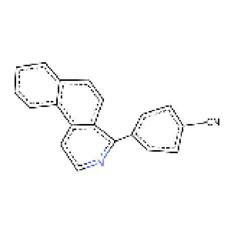 N#Cc1ccc(-c2nccc3c2ccc2ccccc23)cc1